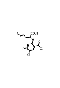 CCC(=O)c1cc(Cl)c(F)cc1OC(CCCF)C(=O)O